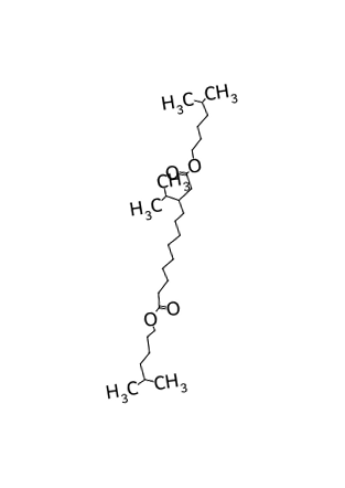 CC(C)CCCCOC(=O)CCCCCCCCC(CC(=O)OCCCCC(C)C)C(C)C